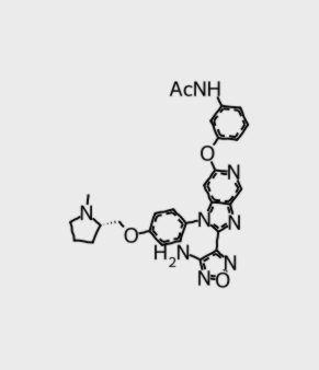 CC(=O)Nc1cccc(Oc2cc3c(cn2)nc(-c2nonc2N)n3-c2ccc(OC[C@@H]3CCCN3C)cc2)c1